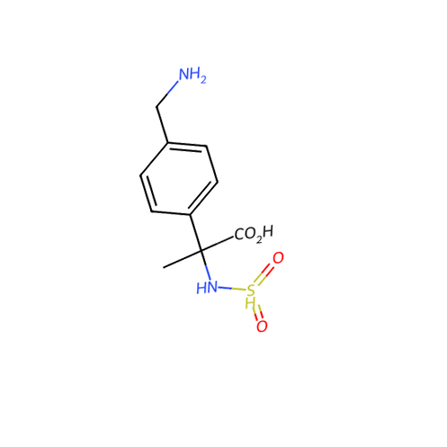 CC(N[SH](=O)=O)(C(=O)O)c1ccc(CN)cc1